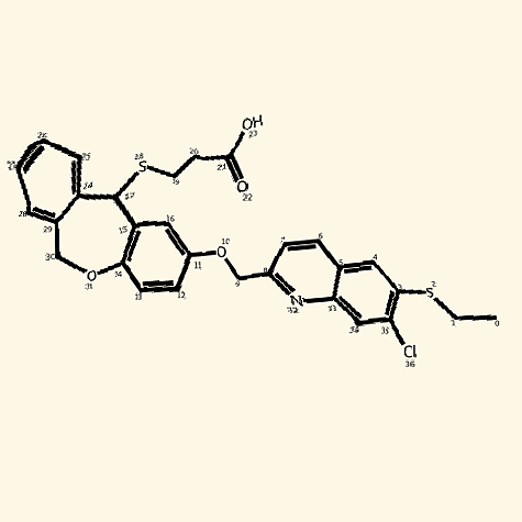 CCSc1cc2ccc(COc3ccc4c(c3)C(SCCC(=O)O)c3ccccc3CO4)nc2cc1Cl